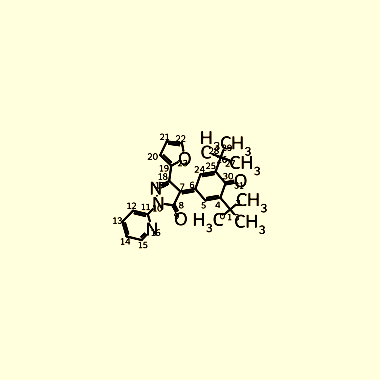 CC(C)(C)C1=CC(=C2C(=O)N(c3ccccn3)N=C2c2ccco2)C=C(C(C)(C)C)C1=O